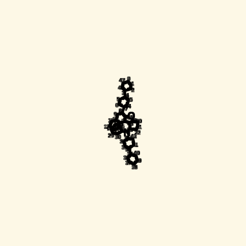 c1ccc(-c2ccc(-c3cc4ccccc4c4c3oc3cccc(N(c5ccccc5)c5ccc(-c6ccccc6)cc5)c34)cc2)cc1